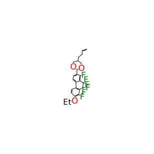 C=CCCC1COC(c2ccc3c(c2F)C(F)(F)C(F)(F)c2c-3ccc(OCC)c2F)OC1